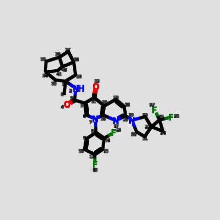 CC1(NC(=O)c2cn(-c3ccc(F)cc3F)c3nc(N4CCC5(C4)CC5(F)F)ccc3c2=O)CC2CC3CC(C1)C3C2